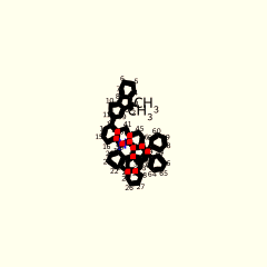 CC1(C)c2ccccc2-c2ccc(-c3cccc(N(c4cccc(-c5ccccc5)c4-c4ccccc4-c4ccccc4)c4cccc5c4-c4ccccc4C5(c4ccccc4)c4ccccc4)c3)cc21